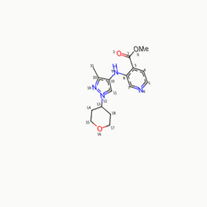 COC(=O)c1ccncc1Nc1cn(C2CCOCC2)nc1C